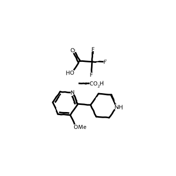 CC(=O)O.COc1cccnc1C1CCNCC1.O=C(O)C(F)(F)F